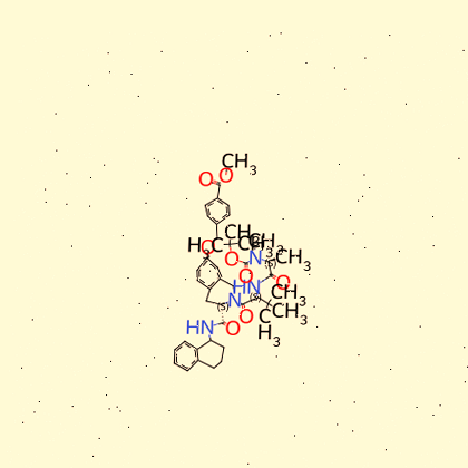 COC(=O)c1ccc(COc2ccc3c(c2)CN(C(=O)[C@@H](NC(=O)[C@H](C)N(C)C(=O)OC(C)(C)C)C(C)(C)C)[C@H](C(=O)NC2CCCc4ccccc42)C3)cc1